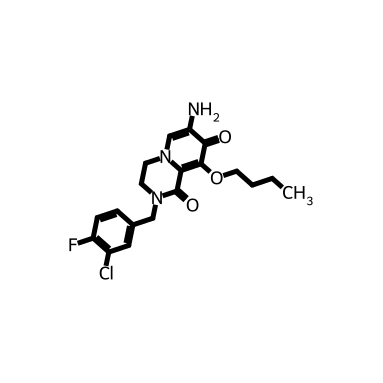 CCCCOc1c2n(cc(N)c1=O)CCN(Cc1ccc(F)c(Cl)c1)C2=O